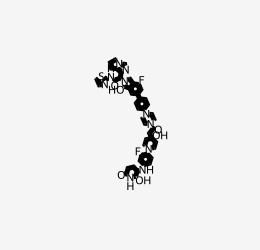 O=C1CCC(Nc2ccc(N3CCC(O)(CC(=O)N4CCN(c5ccc(-c6cc(F)c7c(c6)C(O)N(C(C(=O)Nc6nccs6)c6ncn8c6CCC8)C7)cc5)CC4)CC3)c(F)c2)C(O)N1